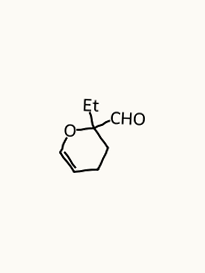 CCC1(C=O)CCC=CO1